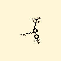 COCCCOc1cc(CCC(=O)NC(=N)N)ccc1-c1ccc(S(=O)(=O)C(C)C)cc1